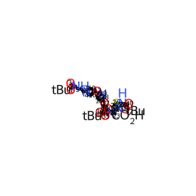 CC(C)(C)OC(=O)NCCC[n+]1ccc(Oc2ccc(OCC(ON=C(C(=O)O)c3csc(NC(=O)OC(C)(C)C)n3)C(=O)OC(C)(C)C)cn2)cc1